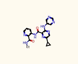 CCNC(=O)c1ncccc1NC(=O)c1nc(C2CC2)cnc1Nc1cncnc1